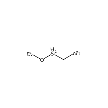 CCCC[SiH2]OCC